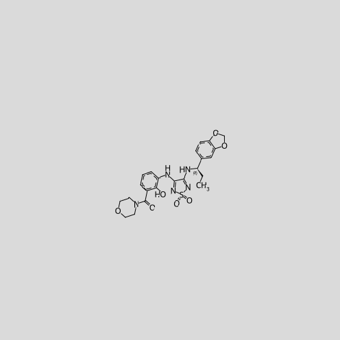 CC[C@@H](NC1=NS(=O)(=O)N=C1Nc1cccc(C(=O)N2CCOCC2)c1O)c1ccc2c(c1)OCO2